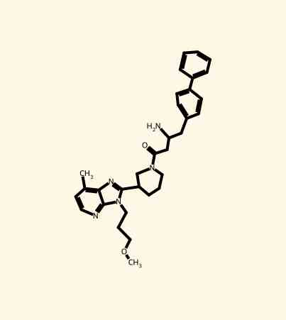 COCCCn1c(C2CCCN(C(=O)CC(N)Cc3ccc(-c4ccccc4)cc3)C2)nc2c(C)ccnc21